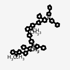 C=C(/C=C(\C(=C/C)c1cccc(-c2ccc3c(c2)C(C)(C)c2ccccc2-3)c1)c1ccccc1)N(c1ccc(-c2ccccc2)cc1)c1ccc(-c2ccc(-c3cccc4c3C(C)(C)c3cc(-c5ccc(-c6ccc(N(c7ccc(-c8ccccc8)cc7)c7ccc(-c8ccccc8)cc7)cc6-c6ccccc6)cc5)ccc3-4)cc2)cc1